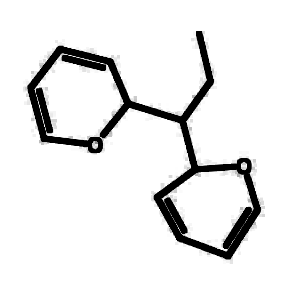 CCC(C1C=CC=CO1)C1C=CC=CO1